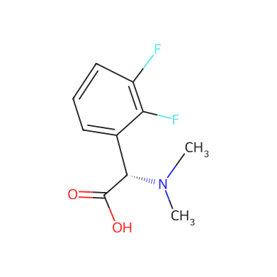 CN(C)[C@H](C(=O)O)c1cccc(F)c1F